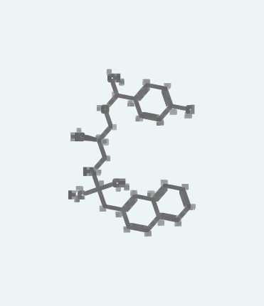 CC(OC[C@H](O)CNC(C)(C)Cc1ccc2ccccc2c1)c1ccc(Cl)cc1